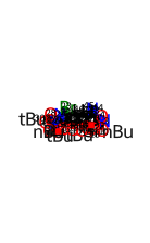 CCCCOc1noc2c1C(=O)[C@@]1(O[Si](C)(C)C(C)(C)C)C(O)=C3C(=O)c4c(c(Br)nc(N(C(=O)OC(C)(C)C)C(=O)OC(C)(C)C)c4OCCCC)C[C@H]3C[C@H]1[C@@H]2N(C)C